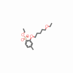 CCOCCCCCOc1cc(C)ccc1S(=O)(=O)OCC